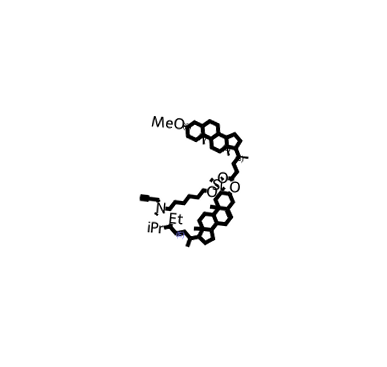 C#CCN(C)CCCCCCO[Si](C)(C)OC(CC[C@H](C)C1CCC2C3CCC4C[C@@H](OC)CC[C@@]4(C)C3CC[C@]21C)OC1CCC2(C)C(=CCC3C2CCC2(C)C(C(C)/C=C/C(CC)C(C)C)CCC32)C1